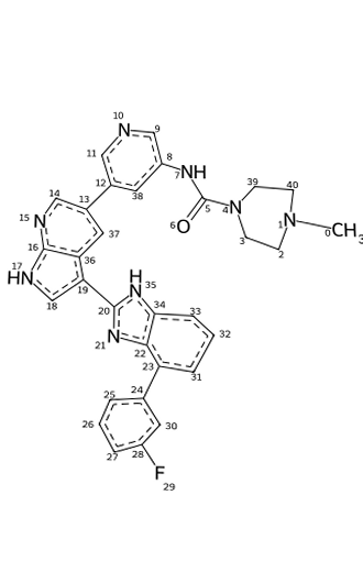 CN1CCN(C(=O)Nc2cncc(-c3cnc4[nH]cc(-c5nc6c(-c7cccc(F)c7)cccc6[nH]5)c4c3)c2)CC1